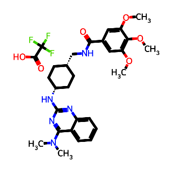 COc1cc(C(=O)NC[C@H]2CC[C@@H](Nc3nc(N(C)C)c4ccccc4n3)CC2)cc(OC)c1OC.O=C(O)C(F)(F)F